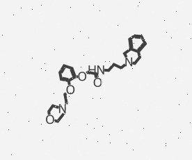 O=C(COc1ccccc1OCCN1CCOCC1)NCCCN1CCc2ccccc2C1